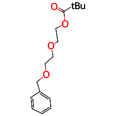 CC(C)(C)C(=O)OCCOCCOCc1ccccc1